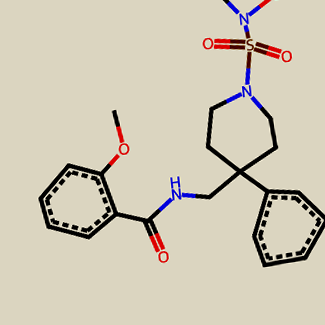 COc1ccccc1C(=O)NCC1(c2ccccc2)CCN(S(=O)(=O)N(C)O)CC1